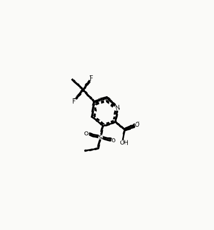 CCS(=O)(=O)c1cc(C(C)(F)F)cnc1C(=O)O